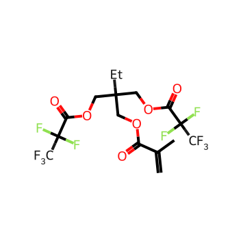 C=C(C)C(=O)OCC(CC)(COC(=O)C(F)(F)C(F)(F)F)COC(=O)C(F)(F)C(F)(F)F